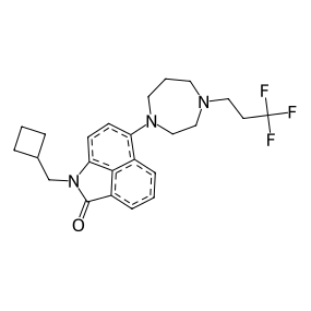 O=C1c2cccc3c(N4CCCN(CCC(F)(F)F)CC4)ccc(c23)N1CC1CCC1